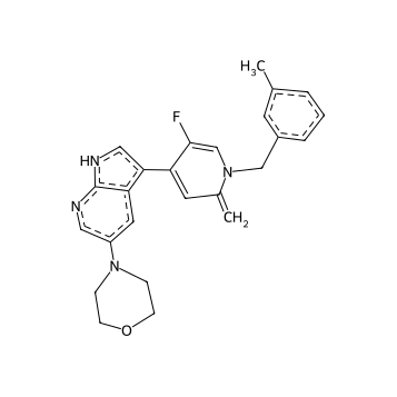 C=C1C=C(c2c[nH]c3ncc(N4CCOCC4)cc23)C(F)=CN1Cc1cccc(C)c1